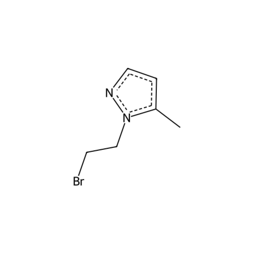 Cc1ccnn1CCBr